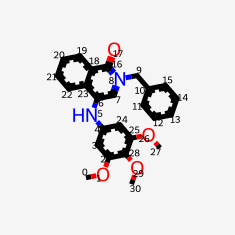 COc1cc(Nc2cn(Cc3ccccc3)c(=O)c3ccccc23)cc(OC)c1OC